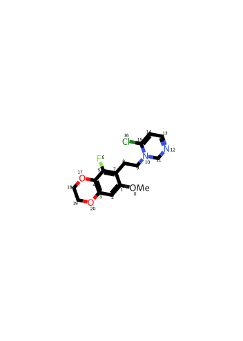 COc1cc2c(c(F)c1CCN1CN=CC=C1Cl)OCCO2